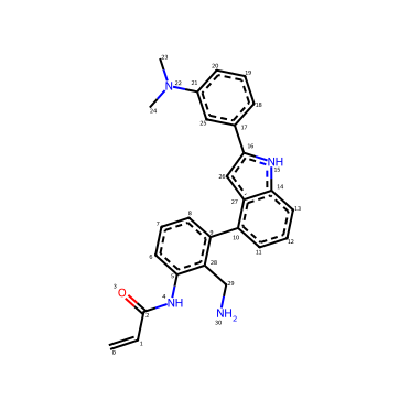 C=CC(=O)Nc1cccc(-c2cccc3[nH]c(-c4cccc(N(C)C)c4)cc23)c1CN